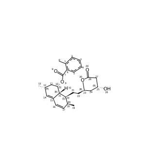 Cc1ccccc1C(=O)O[C@H]1C[C@@H](C)C=C2C=C[C@H](C)[C@H](CC[C@@H]3C[C@@H](O)CC(=O)O3)[C@H]21